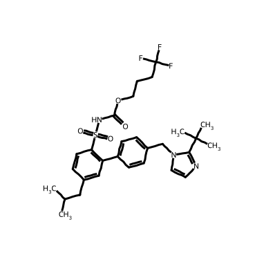 CC(C)Cc1ccc(S(=O)(=O)NC(=O)OCCCC(F)(F)F)c(-c2ccc(Cn3ccnc3C(C)(C)C)cc2)c1